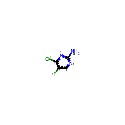 Nc1ncc(F)c(Cl)n1